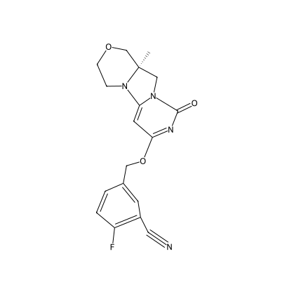 C[C@@]12COCCN1c1cc(OCc3ccc(F)c(C#N)c3)nc(=O)n1C2